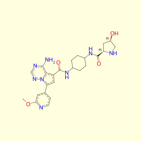 COc1cc(-c2cc(C(=O)NC3CCC(NC(=O)[C@H]4C[C@@H](O)CN4)CC3)c3c(N)ncnn23)ccn1